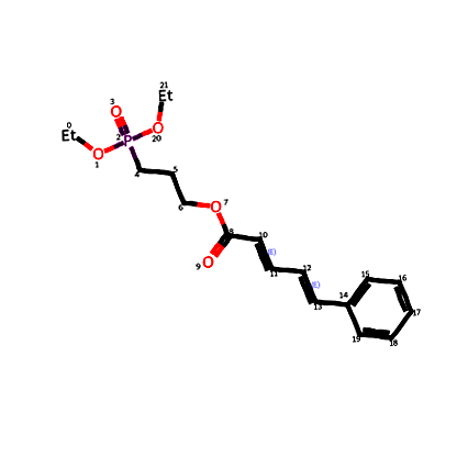 CCOP(=O)(CCCOC(=O)/C=C/C=C/c1ccccc1)OCC